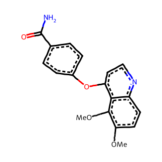 COc1ccc2nccc(Oc3ccc(C(N)=O)cc3)c2c1OC